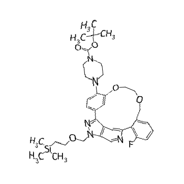 CC(C)(C)OC(=O)N1CCN(c2ccc3cc2OCCOCc2cccc(F)c2-c2cc4c-3nn(COCC[Si](C)(C)C)c4cn2)CC1